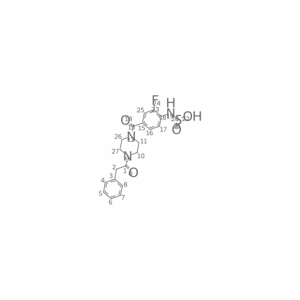 O=C(Cc1ccccc1)N1CCN(C(=O)c2ccc(NS(=O)O)c(F)c2)CC1